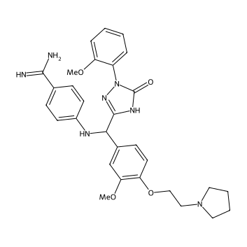 COc1cc(C(Nc2ccc(C(=N)N)cc2)c2nn(-c3ccccc3OC)c(=O)[nH]2)ccc1OCCN1CCCC1